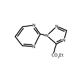 CCOC(=O)c1ncnn1-c1ncccn1